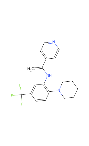 C=C(Nc1cc(C(F)(F)F)ccc1N1CCCCC1)c1ccncc1